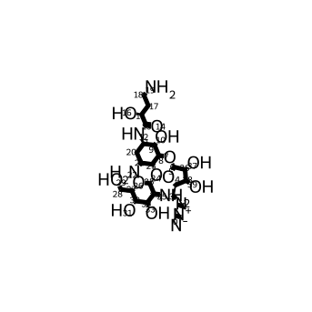 [N-]=[N+]=NC[C@H]1O[C@@H](OC2C(O)[C@H](NC(=O)[C@@H](O)CCN)CC(N)[C@H]2O[C@H]2OC(CO)[C@@H](O)C(O)C2N)[C@@H](O)C1O